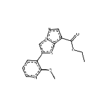 CCOC(=O)c1cnn2cc(-c3cccnc3OC)sc12